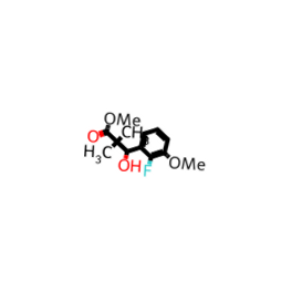 COC(=O)C(C)(C)C(O)c1cccc(OC)c1F